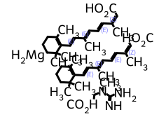 CC1=C(/C=C/C(C)=C/C=C/C(C)=C\C(=O)O)C(C)(C)CCC1.CC1=C(/C=C/C(C)=C/C=C/C(C)=C\C(=O)O)C(C)(C)CCC1.CN(CC(=O)O)C(=N)N.[MgH2]